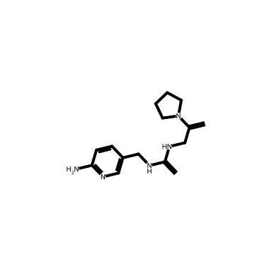 C=C(NCC(=C)N1CCCC1)NCc1ccc(N)nc1